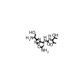 CC(=O)[C@H](NC(=O)N[C@H](CC(N)=O)c1nc([C@H](N)CO)no1)C(C)O